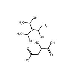 CC(O)N(C(C)O)C(C)O.O=C(O)CC(O)C(=O)O